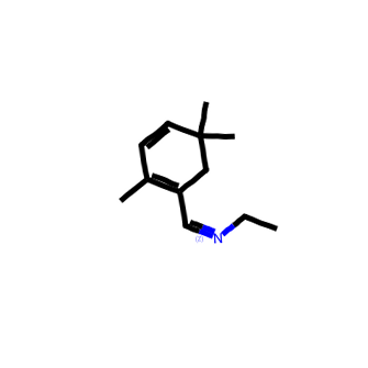 CC/N=C\C1=C(C)C=CC(C)(C)C1